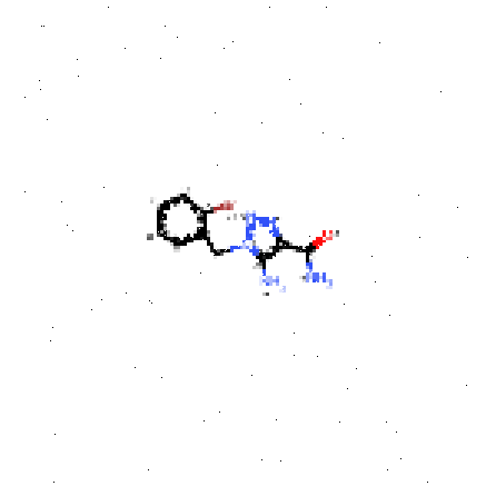 NC(=O)c1nnn(Cc2ccccc2Br)c1N